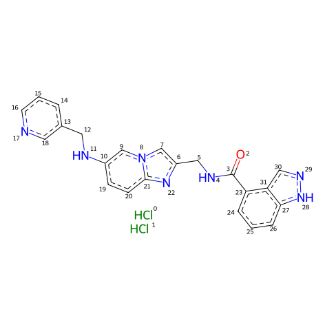 Cl.Cl.O=C(NCc1cn2cc(NCc3cccnc3)ccc2n1)c1cccc2[nH]ncc12